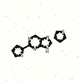 c1ccsc1.c1csc(-c2ncc3nc[nH]c3n2)c1